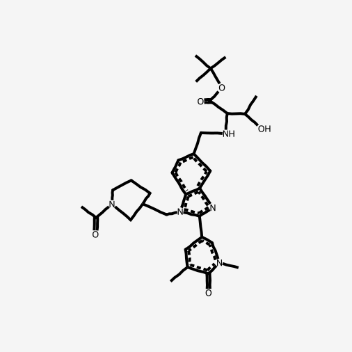 CC(=O)N1CCCC(Cn2c(-c3cc(C)c(=O)n(C)c3)nc3cc(CNC(C(=O)OC(C)(C)C)C(C)O)ccc32)C1